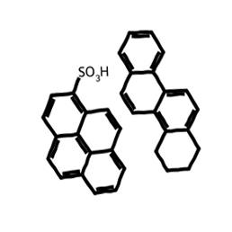 O=S(=O)(O)c1ccc2ccc3cccc4ccc1c2c34.c1ccc2c(c1)ccc1c3c(ccc12)CCCC3